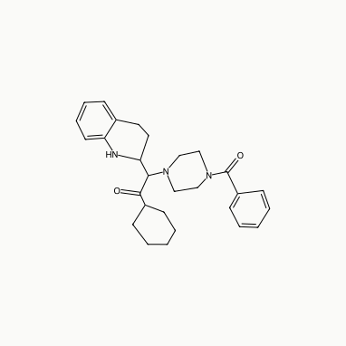 O=C(C1CCCCC1)C(C1CCc2ccccc2N1)N1CCN(C(=O)c2ccccc2)CC1